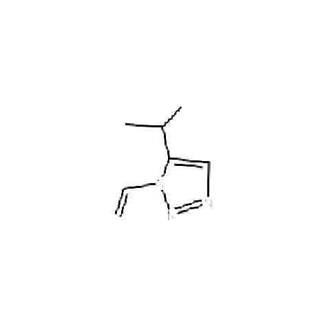 C=Cn1nncc1C(C)C